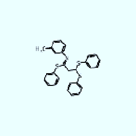 Cc1cccc(N=C(CC(Sc2ccccc2)Sc2ccccc2)Sc2ccccc2)c1